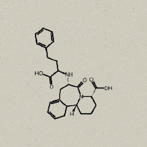 O=C(O)C(CCc1ccccc1)N[C@H]1CC2=CC=CCC2[C@H]2CCC[C@@H](C(=O)O)N2C1=O